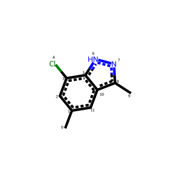 Cc1cc(Cl)c2[nH]nc(C)c2c1